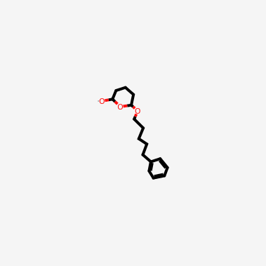 [O]C1CCCC(OCCCCCc2ccccc2)O1